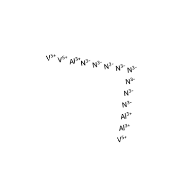 [Al+3].[Al+3].[Al+3].[N-3].[N-3].[N-3].[N-3].[N-3].[N-3].[N-3].[N-3].[V+5].[V+5].[V+5]